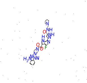 C=NN(/C(=N\N)N1CCN(C(=O)C(=O)c2c[nH]c3c(-c4cc(C(=O)NCCN5CCCC5)[nH]n4)ncc(F)c23)CC1)c1ccccc1